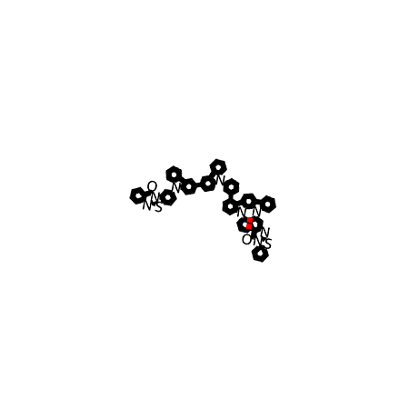 O=c1c2ccc(-n3c4ccccc4c4ccc5c6c(-c7cccc(-n8c9ccccc9c9cc(-c%10ccc%11c(c%10)c%10ccccc%10n%11-c%10ccc%11sc%12nc%13ccccc%13c(=O)n%12c%11c%10)ccc98)c7)cccc6n(-c6ccccc6)c5c43)cc2nc2sc3ccccc3n12